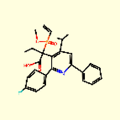 C=CP(=O)(OC)C(CC)(C(=O)O)c1c(C(C)C)cc(-c2ccccc2)nc1-c1ccc(F)cc1